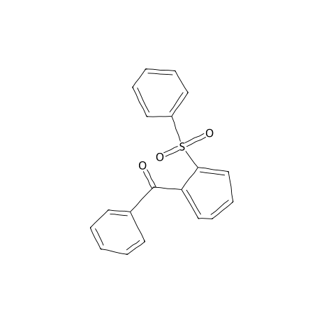 O=C(c1ccccc1)c1ccccc1S(=O)(=O)c1ccccc1